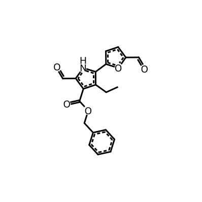 CCc1c(-c2ccc(C=O)o2)[nH]c(C=O)c1C(=O)OCc1ccccc1